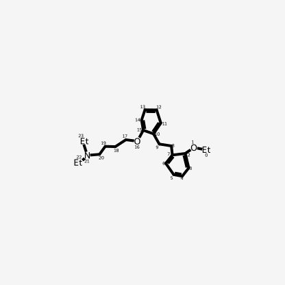 CCOc1ccccc1CCc1ccccc1OCCCCN(CC)CC